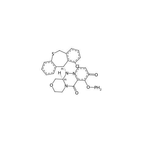 O=C1c2c(OP)c(=O)ccn2N([C@@H]2c3ccccc3SCc3cccc(Cl)c32)[C@@H]2COCCN12